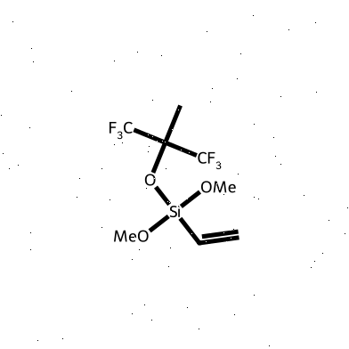 C=C[Si](OC)(OC)OC(C)(C(F)(F)F)C(F)(F)F